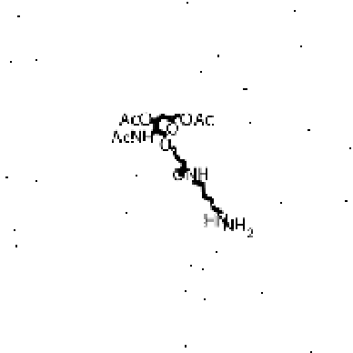 CC(=O)NC1C(OC(C)=O)CC(COC(C)=O)OC1OCCCC(=O)NCCCCCCNN